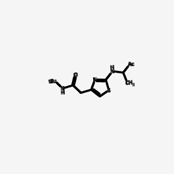 CC(=O)C(C)Nc1nc(CC(=O)NC(C)(C)C)cs1